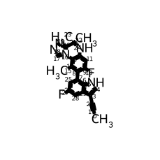 CC#Cc1c[nH]c2c(-c3c(F)cc4c(c3C)-n3cnnc3C(C)(C)N4)cc(F)cc12